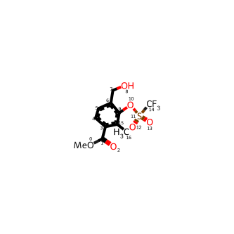 COC(=O)c1ccc(CO)c(OS(=O)(=O)C(F)(F)F)c1C